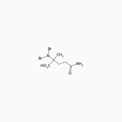 CC(CCC(N)=O)(C(=O)O)N(Br)Br